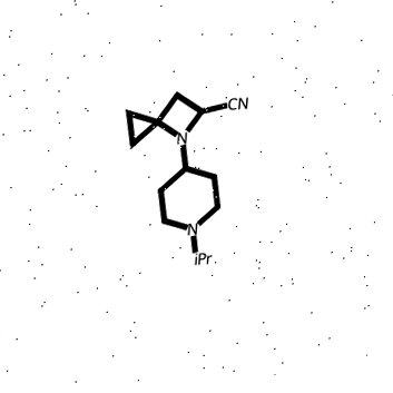 CC(C)N1CCC(N2C(C#N)CC23CC3)CC1